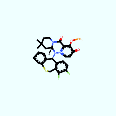 CC1(C)CCN2C(=O)c3c(OP)c(=O)ccn3N([C@@H]3c4ccccc4SCc4c3ccc(F)c4F)[C@@H]2C1